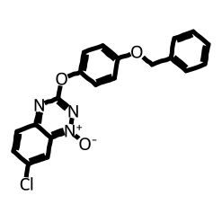 [O-][n+]1nc(Oc2ccc(OCc3ccccc3)cc2)nc2ccc(Cl)cc21